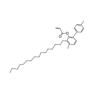 C=CC(=O)Oc1c(-c2ccc(C)cc2)ccc(C)c1CCCCCCCCCCCCCCCC